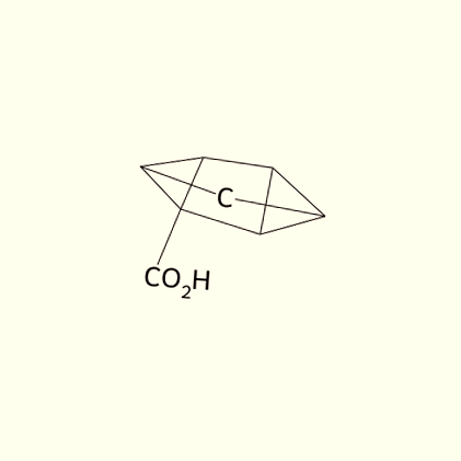 O=C(O)C12C3CC4C(C41)C32